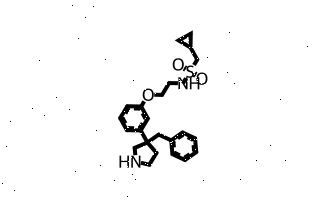 O=S(=O)(CC1CC1)NCCOc1cccc(C2(Cc3ccccc3)CCNC2)c1